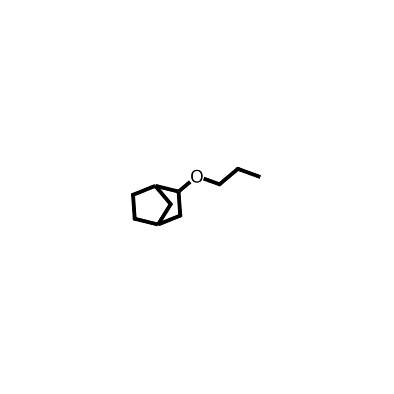 CCCOC1CC2CCC1C2